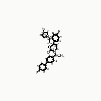 C[C@@H](c1ccc(-c2ccc(F)cc2)cc1)N1CC[C@](CCN2CC[C@@H](F)C2)(c2ccc(F)cc2)OC1=O